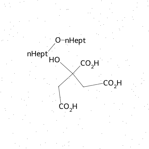 CCCCCCCOCCCCCCC.O=C(O)CC(O)(CC(=O)O)C(=O)O